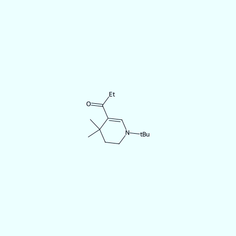 CCC(=O)C1=CN(C(C)(C)C)CCC1(C)C